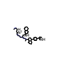 C/C=C\CCC(N)\C=C/C=C/C(=C/C=C(\C)C1=C2C=CCCC2C(c2ccc(-c3cc[nH]c3)cc2)CC1)CNc1ccc2c(c1)C=CCC2